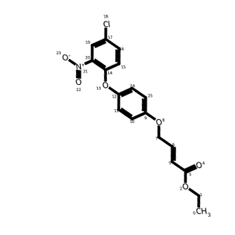 CCOC(=O)C=CCOc1ccc(Oc2ccc(Cl)cc2[N+](=O)[O-])cc1